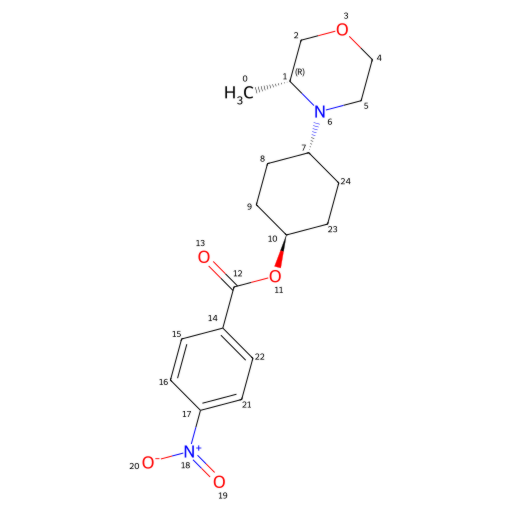 C[C@@H]1COCCN1[C@H]1CC[C@H](OC(=O)c2ccc([N+](=O)[O-])cc2)CC1